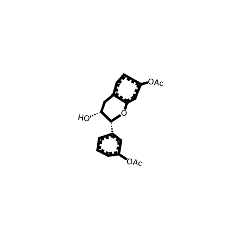 CC(=O)Oc1cccc([C@H]2Oc3cc(OC(C)=O)ccc3C[C@H]2O)c1